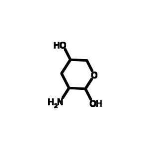 NC1CC(O)COC1O